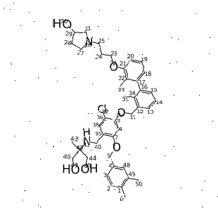 Cc1ccc(COc2cc(OCc3cccc(-c4cccc(OCCCN5CCC(O)C5)c4C)c3C)c(Cl)cc2CNC(C)(CO)CO)cc1C